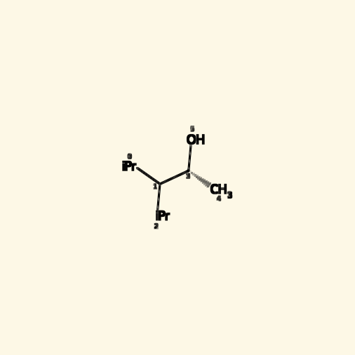 CC(C)C(C(C)C)[C@@H](C)O